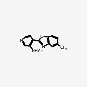 CC(=O)Nc1cnccc1-c1nc2cc(C(F)(F)F)ccc2o1